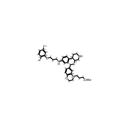 COCCCN1CCOc2ccc(COC3CNCCC3c3ccc(NCCCOc4cc(F)ccc4F)cc3)cc21